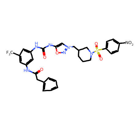 O=C(Cc1ccccc1)Nc1cc(NC(=O)[N-]c2c[n+](CC3CCCN(S(=O)(=O)c4ccc([N+](=O)[O-])cc4)C3)no2)cc(C(F)(F)F)c1